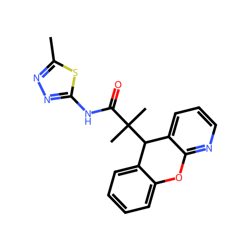 Cc1nnc(NC(=O)C(C)(C)C2c3ccccc3Oc3ncccc32)s1